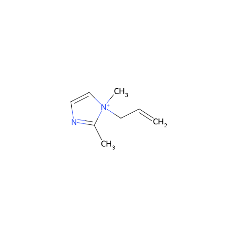 C=CC[N+]1(C)C=CN=C1C